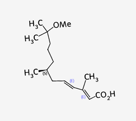 COC(C)(C)CCC[C@H](C)C/C=C/C(C)=C/C(=O)O